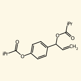 C=CC(OC(=O)C(C)C)c1ccc(OC(=O)C(C)C)cc1